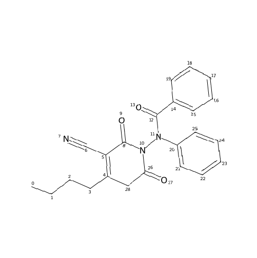 CCCCC1=C(C#N)C(=O)N(N(C(=O)c2ccccc2)c2ccccc2)C(=O)C1